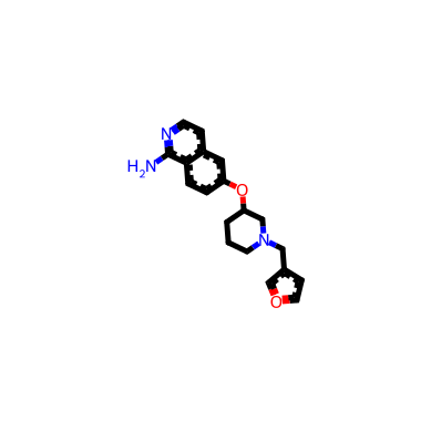 Nc1nccc2cc(OC3CCCN(Cc4ccoc4)C3)ccc12